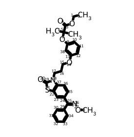 CCOC(=O)C(C)(C)Oc1cccc(OCCCn2c(=O)sc3cc(C(=NOC)c4ccccc4)ccc32)c1